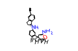 C#Cc1ccc2c(c1)CC[C@@H]2Nc1ccc(C)c([C@@]2(C(C)C)C=C(N)O[C@@H]3C[C@@H]32)c1